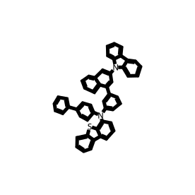 c1ccc(-c2ccc(N(c3cccc(-c4cc(-n5c6ccccc6c6ccccc65)cc5ccccc45)c3)c3cccc4c3sc3ccccc34)cc2)cc1